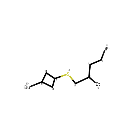 CCC(CCC(C)C)CSC1CC(C(C)CC)C1